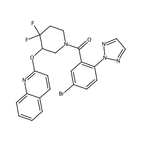 O=C(c1cc(Br)ccc1-n1nccn1)N1CCC(F)(F)C(Oc2ccc3ccccc3n2)C1